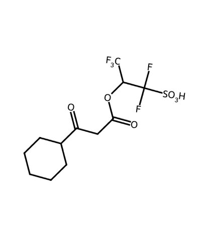 O=C(CC(=O)C1CCCCC1)OC(C(F)(F)F)C(F)(F)S(=O)(=O)O